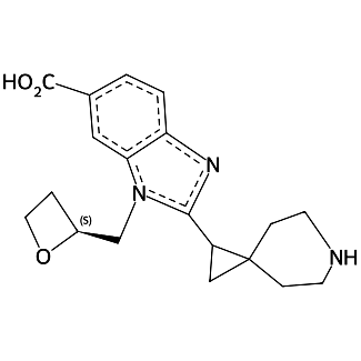 O=C(O)c1ccc2nc(C3CC34CCNCC4)n(C[C@@H]3CCO3)c2c1